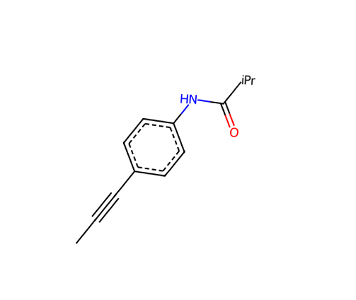 CC#Cc1ccc(NC(=O)C(C)C)cc1